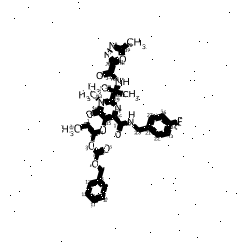 CCC(OC(=O)OCc1ccccc1)Oc1c(C(=O)NCc2ccc(F)cc2)nc(C(C)(C)NC(=O)c2nnc(C)o2)n(C)c1=O